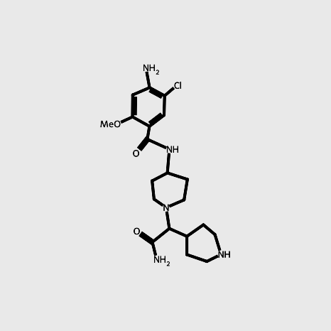 COc1cc(N)c(Cl)cc1C(=O)NC1CCN(C(C(N)=O)C2CCNCC2)CC1